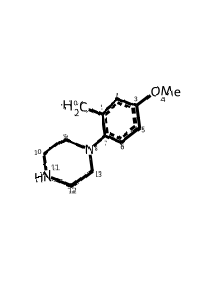 [CH2]c1cc(OC)ccc1N1CCNCC1